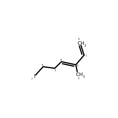 C=CC(C)=CCCI